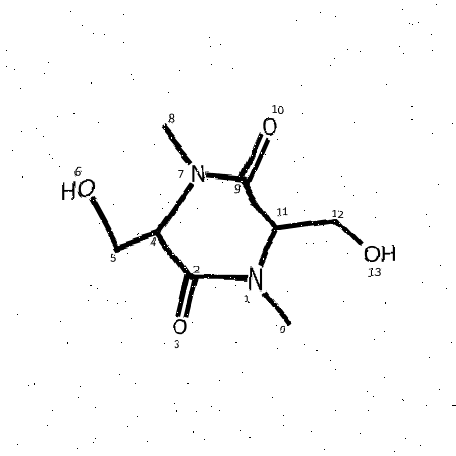 CN1C(=O)C(CO)N(C)C(=O)C1CO